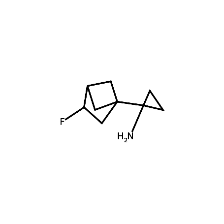 NC1(C23CC(F)C(C2)C3)CC1